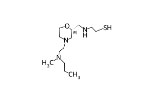 CCCN(C)CCN1CCO[C@H](CNCCS)C1